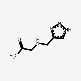 CC(=O)CNCc1c[nH]nn1